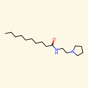 CCCCCCCCCC(=O)NCCN1CCCC1